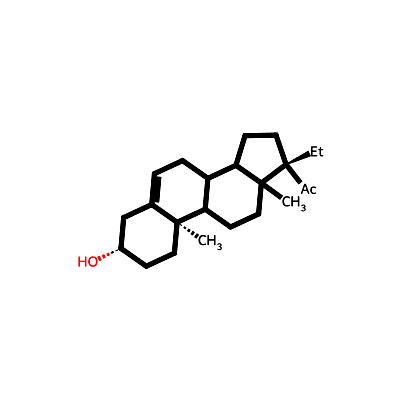 CC[C@]1(C(C)=O)CCC2C3CC=C4C[C@@H](O)CC[C@]4(C)C3CCC21C